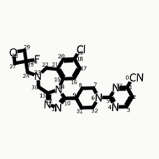 N#Cc1ccnc(N2CCC(c3nnc4n3-c3ccc(Cl)cc3CN(CC3(F)COC3)C4)CC2)n1